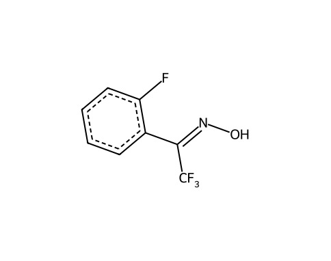 ON=C(c1ccccc1F)C(F)(F)F